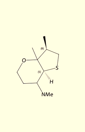 CNC1CCOC2(C)[C@@H](C)CS[C@@H]12